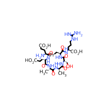 CC(C)C[C@H](NC(=O)[C@H](CO)NC(=O)[C@H](C)NC(=O)[C@H](C)NC(=O)[C@H](CCC(=O)O)NC(=O)[C@@H](N)CCC(=O)O)C(=O)N[C@@H](CCCNC(=N)N)C(=O)O